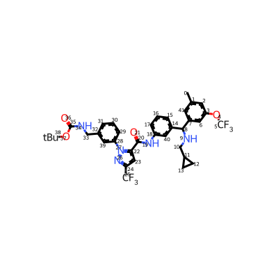 Cc1cc(OC(F)(F)F)cc(C(NCC2CC2)c2cccc(NC(=O)c3cc(C(F)(F)F)nn3-c3cccc(CNC(=O)OC(C)(C)C)c3)c2)c1